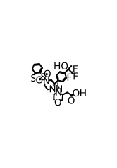 CC(O)(c1ccc([C@]2(CN3CCOCC3CC(=O)O)CN(S(=O)(=O)C3=CC=CCC3=S)CCN2)cc1)C(F)(F)F